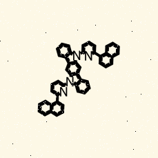 c1cc(-c2cccc3ccccc23)nc(-n2c3ccccc3c3cc4c(cc32)c2ccccc2n4-c2cccc(-c3cccc4ccccc34)n2)c1